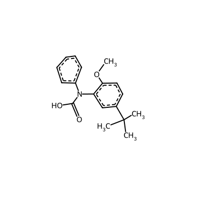 COc1ccc(C(C)(C)C)cc1N(C(=O)O)c1ccccc1